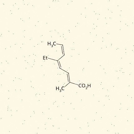 C\C=C/C(=C\C=C(/C)C(=O)O)CC